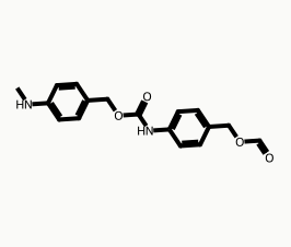 CNc1ccc(COC(=O)Nc2ccc(COC=O)cc2)cc1